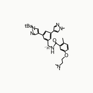 Cc1ccc(OCCN(C)C)cc1C(=O)N[C@H](C)c1cc(-c2cnn(C)c2)cc(-c2cnn(C(C)(C)C)c2)c1